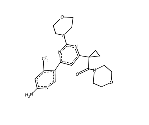 Nc1cc(C(F)(F)F)c(-c2cc(C3(C(=O)N4CCOCC4)CC3)nc(N3CCOCC3)n2)cn1